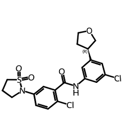 O=C(Nc1cc(Cl)cc([C@H]2CCOC2)c1)c1cc(N2CCCS2(=O)=O)ccc1Cl